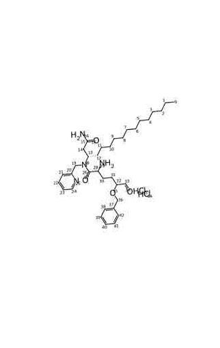 CCCCCCCCCCCCC[C@@H](CC(N)=O)N(Cc1ccccn1)C(=O)[C@@H](N)CCC(C=O)OCc1ccccc1.Cl.Cl